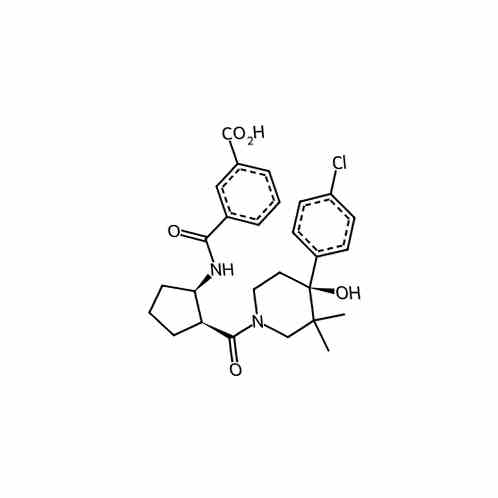 CC1(C)CN(C(=O)[C@H]2CCC[C@H]2NC(=O)c2cccc(C(=O)O)c2)CC[C@]1(O)c1ccc(Cl)cc1